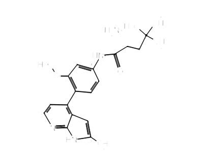 COc1cc(NC(=O)[C@H](N)CC(C)(C)C)ccc1-c1ccnc2[nH]c(C)cc12